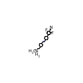 C[SiH2]CCC1CCC(/C=C/C2CCC(c3cc(F)c(C#N)c(F)c3)CC2)CC1